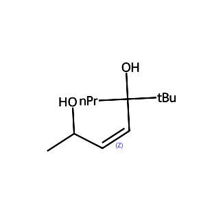 CCCC(O)(/C=C\C(C)O)C(C)(C)C